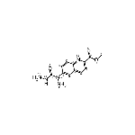 COC(=O)c1ccc2cc(N(N)C(=O)NN)ccc2n1